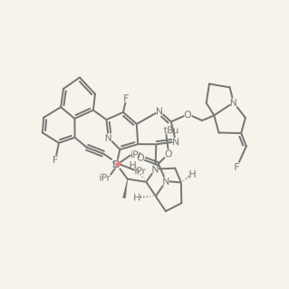 CC(C)[Si](C#Cc1c(F)ccc2cccc(-c3nc4c5c(nc(OCC67CCCN6CC(=CF)C7)nc5c3F)N3C[C@H]5CC[C@@H]([C@H]3[C@@H](C)O4)N5C(=O)OC(C)(C)C)c12)(C(C)C)C(C)C